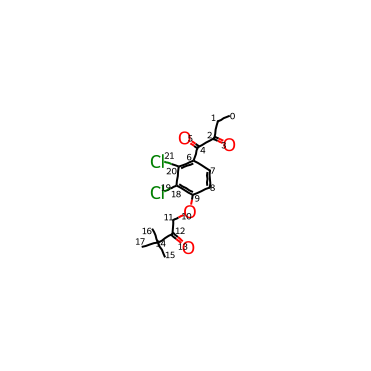 CCC(=O)C(=O)c1ccc(OCC(=O)C(C)(C)C)c(Cl)c1Cl